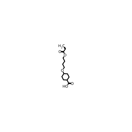 C=CC(=O)OCCCCOC1CCC(C(=O)O)CC1